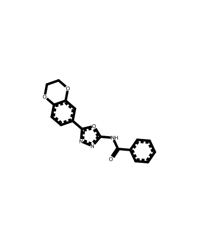 O=C(Nc1nnc(-c2ccc3c(c2)OCCO3)o1)c1ccccc1